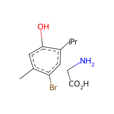 Cc1cc(O)c(C(C)C)cc1Br.NCC(=O)O